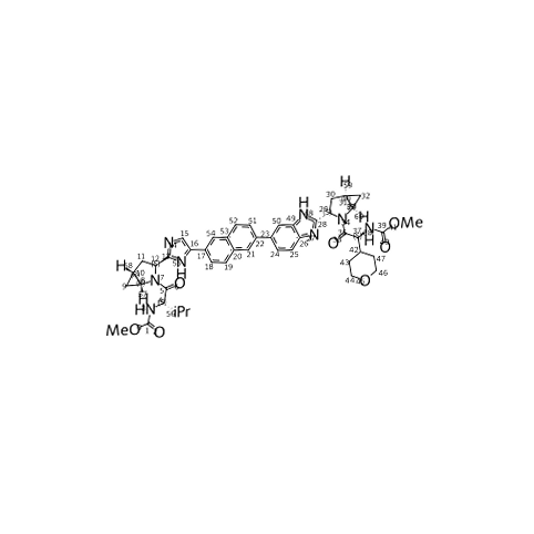 COC(=O)N[C@H](C(=O)N1[C@@H]2C[C@@H]2C[C@H]1c1ncc(-c2ccc3cc(-c4ccc5nc([C@@H]6C[C@H]7C[C@H]7N6C(=O)[C@@H](NC(=O)OC)C6CCOCC6)[nH]c5c4)ccc3c2)[nH]1)C(C)C